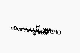 CCCCCCCCCCCCCCCCCC(=O)NCCOc1ccc(CC=O)cc1